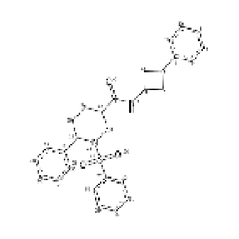 O=C(NC1CC(c2ccccc2)C1)C1CCC(c2ccccc2)N(S(=O)(=O)c2ccccc2)C1